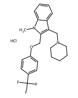 Cl.Cn1c(COc2ccc(C(F)(F)F)cc2)c(CN2CCCCC2)c2ccccc21